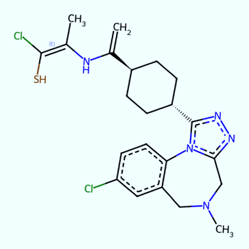 C=C(N/C(C)=C(\S)Cl)[C@H]1CC[C@H](c2nnc3n2-c2ccc(Cl)cc2CN(C)C3)CC1